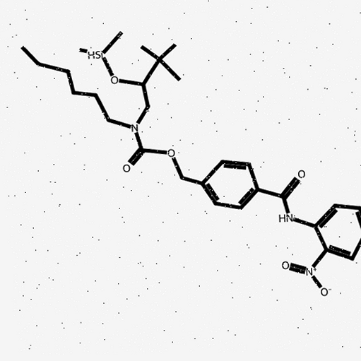 CCCCCCN(CC(O[SiH](C)C)C(C)(C)C)C(=O)OCc1ccc(C(=O)Nc2ccccc2[N+](=O)[O-])cc1